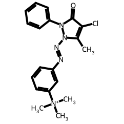 Cc1c(Cl)c(=O)n(-c2ccccc2)n1N=Nc1cccc([N+](C)(C)C)c1